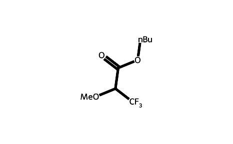 CCCCOC(=O)C(OC)C(F)(F)F